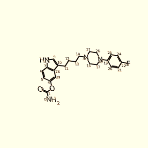 NC(=O)Oc1ccc2[nH]cc(CCCCN3CCN(c4ccc(F)cc4)CC3)c2c1